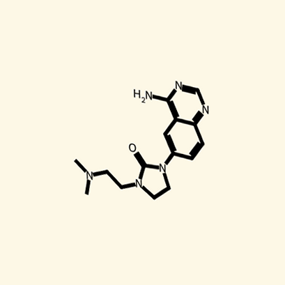 CN(C)CCN1CCN(c2ccc3ncnc(N)c3c2)C1=O